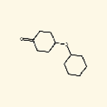 O=C1CCC(OC2CCCCC2)CC1